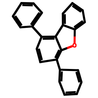 c1ccc(-c2ccc(-c3ccccc3)c3c2oc2ccccc23)cc1